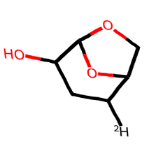 [2H]C1CC(O)C2OCC1O2